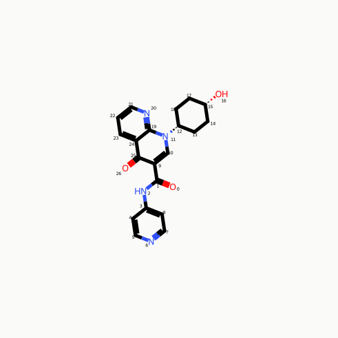 O=C(Nc1ccncc1)c1cn([C@H]2CC[C@@H](O)CC2)c2ncccc2c1=O